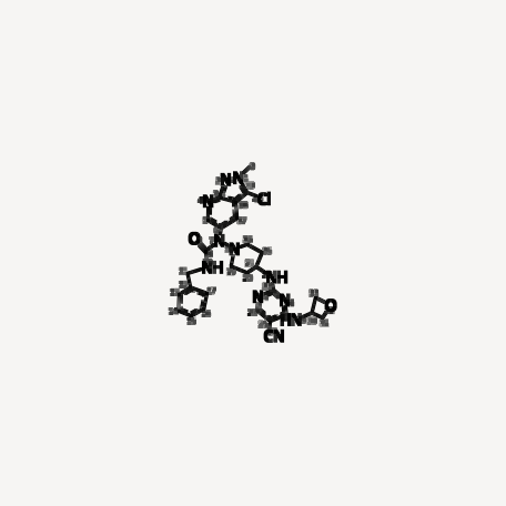 Cn1nc2ncc(N(C(=O)NCc3ccccc3)N3CCC(Nc4ncc(C#N)c(NC5COC5)n4)CC3)cc2c1Cl